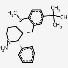 CSc1ccc(C(C)(C)C)cc1C[C@H]1CCCN(N)[C@H]1c1ccccc1